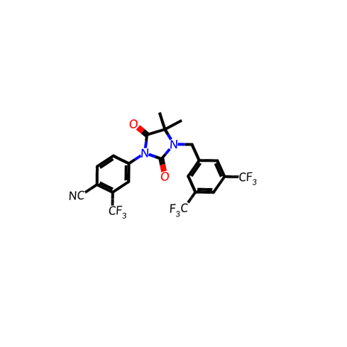 CC1(C)C(=O)N(c2ccc(C#N)c(C(F)(F)F)c2)C(=O)N1Cc1cc(C(F)(F)F)cc(C(F)(F)F)c1